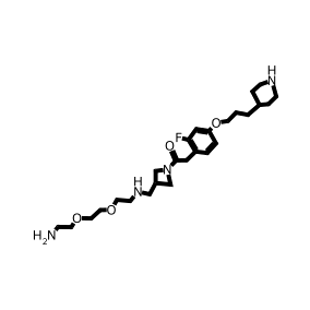 NCCOCCOCCNCC1CN(C(=O)Cc2ccc(OCCCC3CCNCC3)cc2F)C1